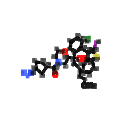 COCCCCC(O)(c1cccc(Cl)c1-c1c(I)sc2ccccc12)C1CN(C(=O)C2CCC(N)C2)CCO1